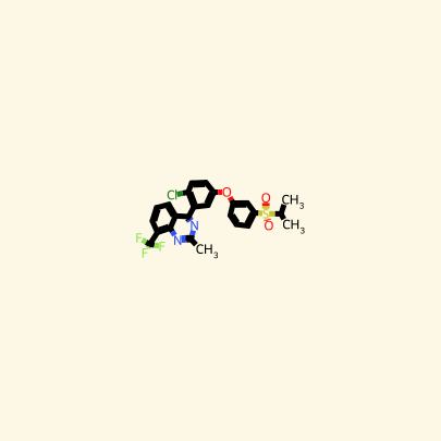 Cc1nc(-c2cc(Oc3cccc(S(=O)(=O)C(C)C)c3)ccc2Cl)c2cccc(C(F)(F)F)c2n1